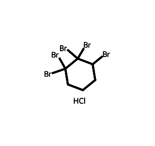 BrC1CCCC(Br)(Br)C1(Br)Br.Cl